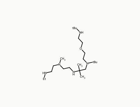 CCNCCN(C)CCNC(C)(C)CN(CCOCCNC(C)(C)C)C(C)(C)C